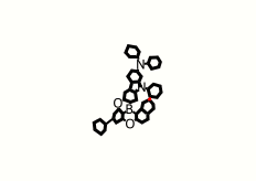 c1ccc(-c2cc3c4c(c2)Oc2ccc5ccccc5c2B4c2cc4c(cc2O3)c2ccc(N(c3ccccc3)c3ccccc3)cc2n4-c2ccccc2)cc1